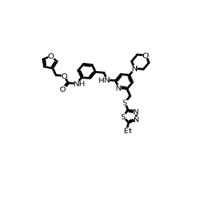 CCc1nnc(SCc2cc(N3CCOCC3)cc(NCc3cccc(NC(=O)OCc4ccoc4)c3)n2)s1